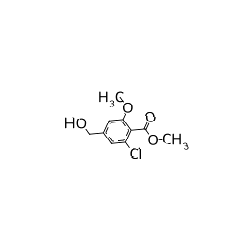 COC(=O)c1c(Cl)cc(CO)cc1OC